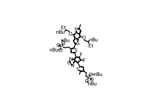 CCCCOP(=O)(CCc1cc(-c2c(F)c(F)c(-c3cc(CCP(=O)(OCCCC)OCCCC)c(-c4cc5c(OCC(CC)CCCC)c6sc(C)cc6c(OCC(CC)CCCC)c5s4)s3)c3nonc23)sc1C)OCCCC